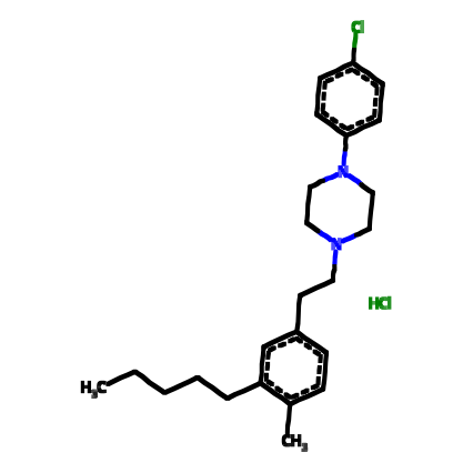 CCCCCc1cc(CCN2CCN(c3ccc(Cl)cc3)CC2)ccc1C.Cl